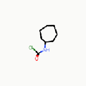 O=C(Cl)NC1CCCCCC1